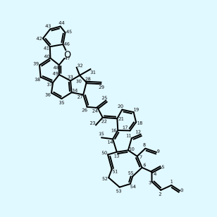 C=C/C=C\C(=C)C1=C(C=C)/C(C=C)=C(/C(C)=c2\cccc\c2=C(\C)C(=C)/C=C2\C(=C)C(C)(C)c3c2ccc2ccc4c5ccccc5oc4c32)\C=C\CC\C=C\1